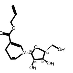 C=CCOC(=O)C1=CN([C@@H]2O[C@H](CO)[C@@H](O)[C@H]2O)C=CC1